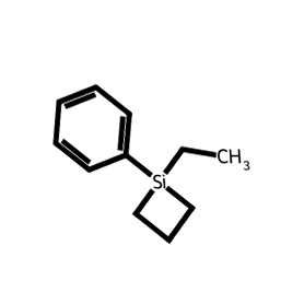 CC[Si]1(c2ccccc2)CCC1